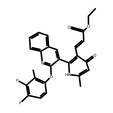 CCOC(=O)C=Cc1c(-c2cc3ccccc3nc2Oc2ccc(F)c(F)c2C)[nH]c(C)cc1=O